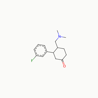 CN(C)CC1CCC(=O)CC1c1cccc(F)c1